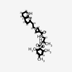 Cc1cc(C)c(S(=O)(=O)NC(C)CNC(=O)C2CN(CCc3ccc4c(n3)NCCC4)C2)c(C)c1